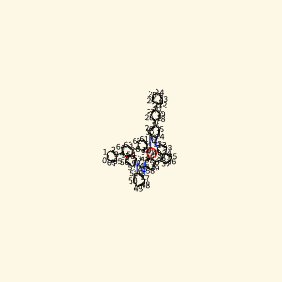 c1ccc(-c2ccc(-c3ccc(N(c4ccc(-c5ccc(-c6ccccc6)cc5)cc4)c4ccc5cccc6c5c4Oc4cc(N(c5ccccc5)c5ccccc5)ccc4-6)cc3)cc2)cc1